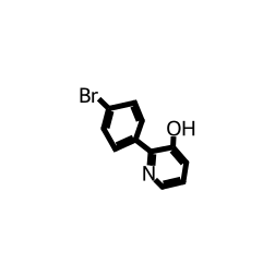 Oc1cccnc1-c1ccc(Br)cc1